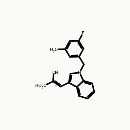 Cc1cc(F)cc(Cn2cc(/C=C(\C#N)C(=O)O)c3ccccc32)c1